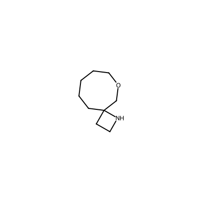 C1CCOCC2(CC1)CCN2